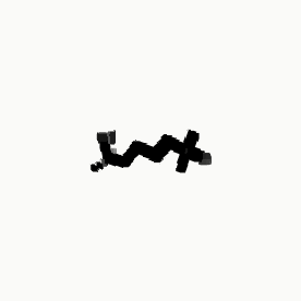 C[C@H](O)CCCCP(C)(C)=O